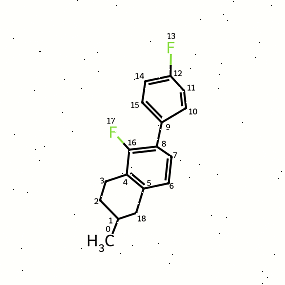 CC1CCc2c(ccc(-c3ccc(F)cc3)c2F)C1